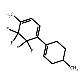 CC1=CC=C(C2=CCC(C)CC2)C(F)(F)C1(F)F